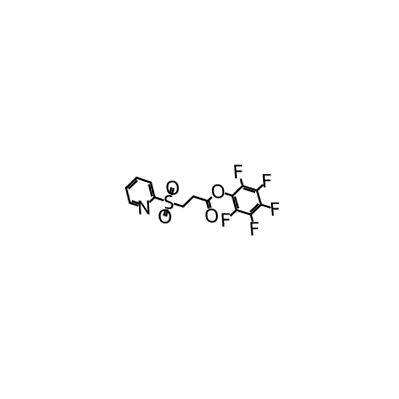 O=C(CCS(=O)(=O)c1ccccn1)Oc1c(F)c(F)c(F)c(F)c1F